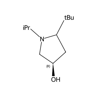 CC(C)N1C[C@H](O)CC1C(C)(C)C